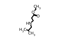 CCOC(=O)CCNCC(C)C